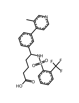 Cc1cnccc1-c1cccc(C(CCCC(=O)O)NS(=O)(=O)c2ccccc2C(F)(F)F)c1